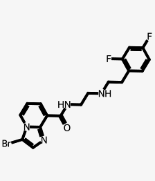 O=C(NCCNCCc1ccc(F)cc1F)c1cccn2c(Br)cnc12